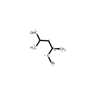 CC(C=O)C[C@@H](C)SC(C)C